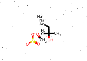 C=O.CC(=O)CC(C)(C)O.O=S([O-])[O-].[Na+].[Na+]